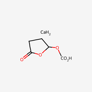 O=C(O)OC1CCC(=O)O1.[CaH2]